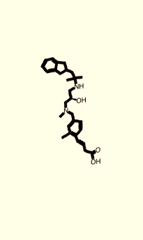 Cc1cc(CN(C)C[C@H](O)CNC(C)(C)CC2Cc3ccccc3C2)ccc1/C=C/CC(=O)O